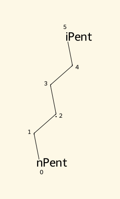 CCCCCC[CH]CCC(C)CCC